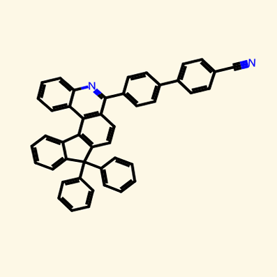 N#Cc1ccc(-c2ccc(-c3nc4ccccc4c4c5c(ccc34)C(c3ccccc3)(c3ccccc3)c3ccccc3-5)cc2)cc1